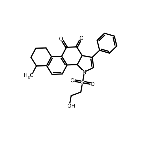 CC1CCCc2c1ccc1c2C(=O)C(=O)C2C(c3ccccc3)=CN(S(=O)(=O)CCO)C12